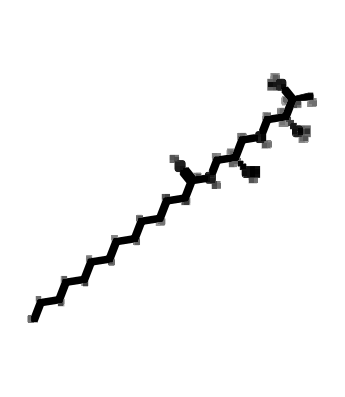 CCCCCCCCCCCCCC(=O)OC[C@@H](O)COC[C@@H](O)[C@H](C)O